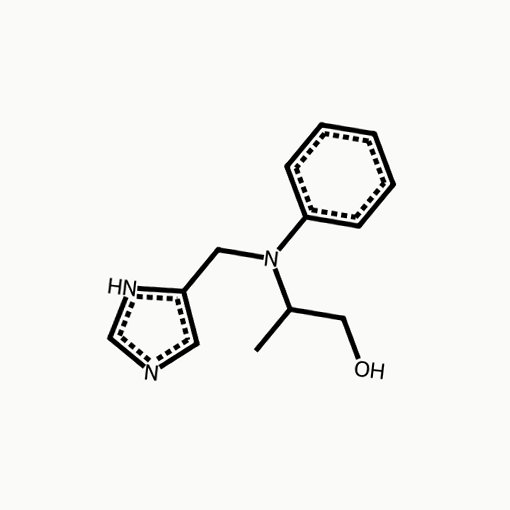 CC(CO)N(Cc1cnc[nH]1)c1ccccc1